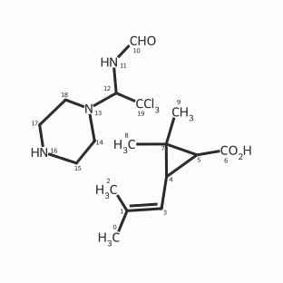 CC(C)=CC1C(C(=O)O)C1(C)C.O=CNC(N1CCNCC1)C(Cl)(Cl)Cl